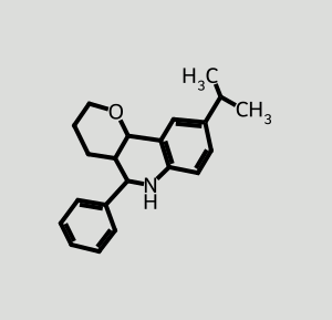 CC(C)c1ccc2c(c1)C1OCCCC1C(c1ccccc1)N2